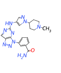 CN1CCC(n2cc(Nc3ncc4nnn(-c5cccc(C(N)=O)c5)c4n3)cn2)CC1